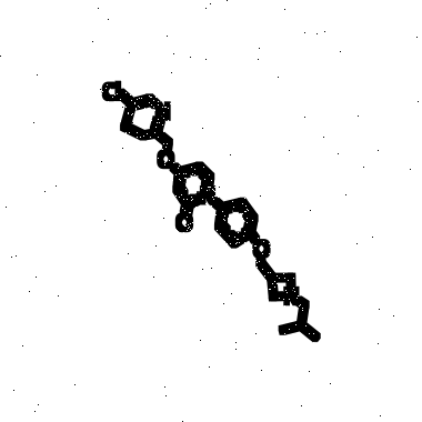 CC(C)CN1CC(COc2ccc(-n3ccc(OCC4=NC=C(Cl)CC4)cc3=O)cc2)C1